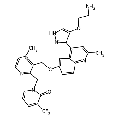 Cc1cc(-c2n[nH]cc2OCCN)c2cc(OCc3c(C)ccnc3Cn3cccc(C(F)(F)F)c3=O)ccc2n1